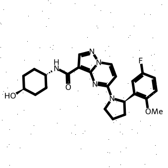 COc1ccc(F)cc1[C@H]1CCCN1c1ccn2ncc(C(=O)N[C@H]3CC[C@H](O)CC3)c2n1